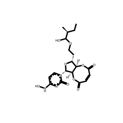 CC[C@H](C)C(O)OCC[C@H]1O[C@@H](n2ccc(NO)nc2=O)[C@@H]2OC(=O)/C=C\C(=O)O[C@@H]21